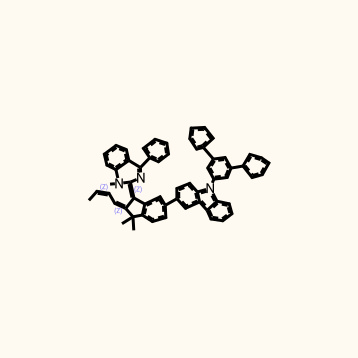 C\C=C/C=C1\C(=C2\N=C(c3ccccc3)c3ccccc3N2C)c2cc(-c3ccc4c(c3)c3ccccc3n4-c3cc(-c4ccccc4)cc(-c4ccccc4)c3)ccc2C1(C)C